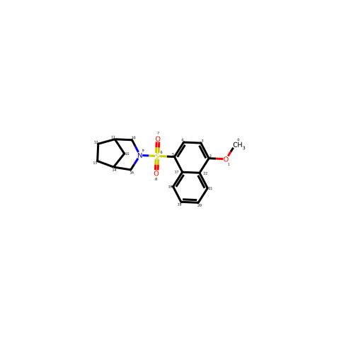 COc1ccc(S(=O)(=O)N2CC3CCC(C3)C2)c2ccccc12